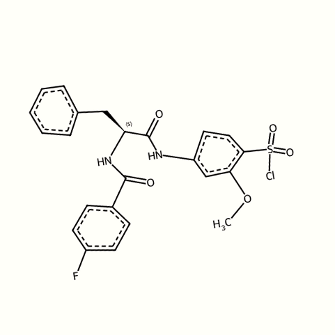 COc1cc(NC(=O)[C@H](Cc2ccccc2)NC(=O)c2ccc(F)cc2)ccc1S(=O)(=O)Cl